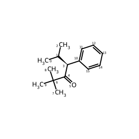 CC(C)[C@H](C(=O)C(C)(C)C)c1ccccc1